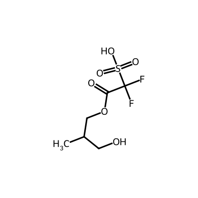 CC(CO)COC(=O)C(F)(F)S(=O)(=O)O